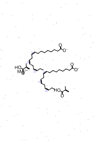 C=C(C)C(=O)O.C=C(C)C(=O)O.CC/C=C\C/C=C\C/C=C\CCCCCCCC(=O)[O-].CC/C=C\C/C=C\C/C=C\CCCCCCCC(=O)[O-].[Mg+2]